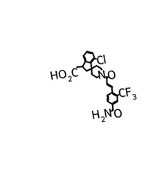 NC(=O)c1ccc(/C=C/C(=O)N2CCC3(CC2)CC(CC(=O)O)c2cccc(Cl)c23)c(C(F)(F)F)c1